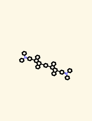 c1ccc(N(c2ccccc2)c2ccc(-c3cc4c5ccccc5c(-c5ccc(-c6cc7c8ccccc8c(-c8ccc(N(c9ccccc9)c9ccccc9)cc8)cc7c7ccccc67)cc5)cc4c4ccccc34)cc2)cc1